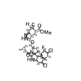 COC(=O)c1cc2c(OC[C@H]3C[C@H](c4cccc(Cl)c4F)[C@]4(C(=O)Nc5cc(Cl)ccc54)N3CC3CC3)[nH]nc2cc1C